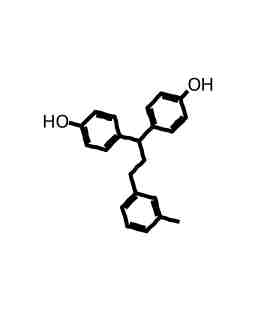 Cc1cccc(CCC(c2ccc(O)cc2)c2ccc(O)cc2)c1